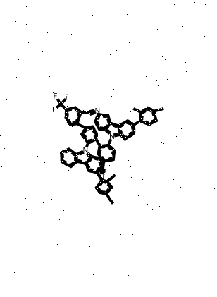 Cc1ccc(-c2ccc3c(c2)c2ccccc2n3-c2ccc(C#N)cc2-c2ccc(-c3ccc(C(F)(F)F)cc3C#N)cc2-n2c3ccccc3c3cc(-c4ccc(C)cc4C)ccc32)c(C)c1